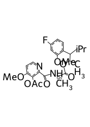 COc1cc(F)ccc1C(C(C)C)C(C)OC(=O)[C@H](C)NC(=O)c1nccc(OC)c1OC(C)=O